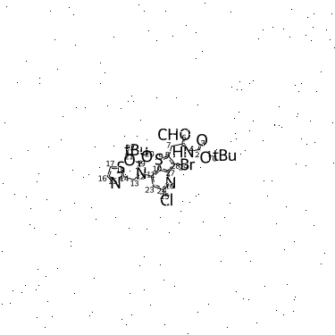 CC(C)(C)OC(=O)N[C@@H](C=O)Cc1sc2c(N(Cc3nccs3)C(=O)OC(C)(C)C)cc(Cl)nc2c1Br